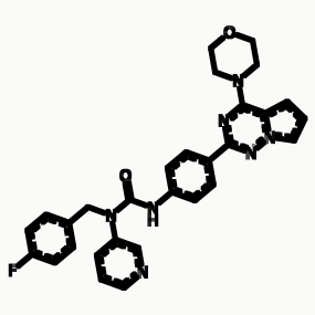 O=C(Nc1ccc(-c2nc(N3CCOCC3)c3cccn3n2)cc1)N(Cc1ccc(F)cc1)c1cccnc1